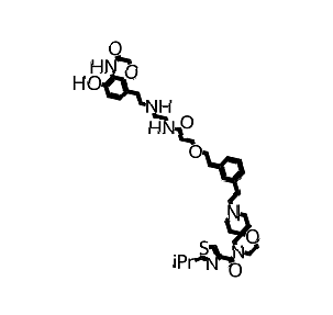 CC(C)c1nc(C(=O)N2CCOC3(CCN(CCc4cccc(CCOCCC(=O)NCCNCCc5ccc(O)c6c5OCC(=O)N6)c4)CC3)C2)cs1